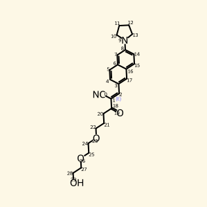 N#C/C(=C\c1ccc2cc(N3CCCC3)ccc2c1)C(=O)CCCOCCOCCO